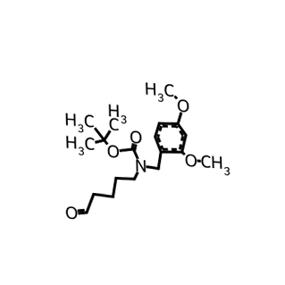 COc1ccc(CN(CCCCC=O)C(=O)OC(C)(C)C)c(OC)c1